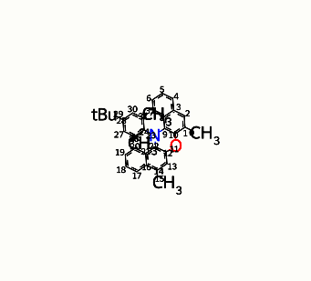 Cc1cc2ccccc2c2c1Oc1cc(C)c3ccccc3c1N2c1c(C)cc(C(C)(C)C)cc1C